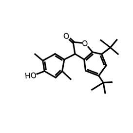 Cc1cc(C2C(=O)Oc3c2cc(C(C)(C)C)cc3C(C)(C)C)c(C)cc1O